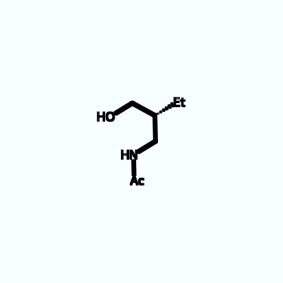 CC[C@@H](CO)CNC(C)=O